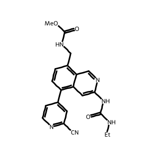 CCNC(=O)Nc1cc2c(-c3ccnc(C#N)c3)ccc(CNC(=O)OC)c2cn1